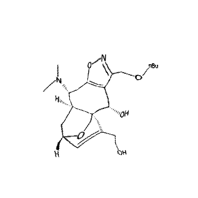 CCCCOc1noc2c1[C@H](O)[C@]13O[C@H](C=C1CO)C[C@H]3[C@@H]2N(C)C